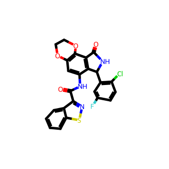 O=C1NC(c2cc(F)ccc2Cl)c2c(NC(=O)c3nsc4ccccc34)cc3c(c21)OCCO3